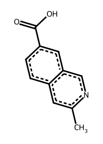 Cc1cc2ccc(C(=O)O)cc2cn1